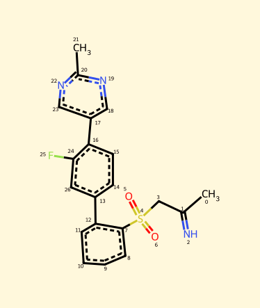 CC(=N)CS(=O)(=O)c1ccccc1-c1ccc(-c2cnc(C)nc2)c(F)c1